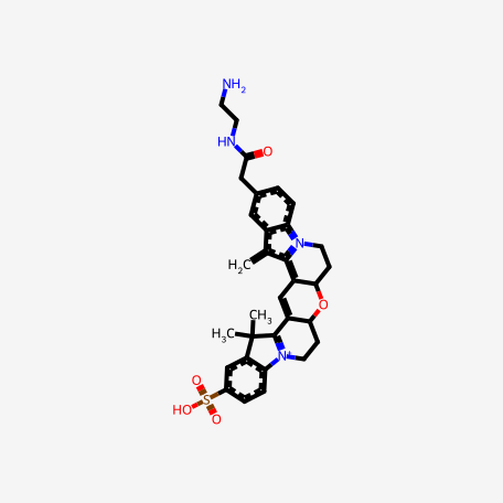 C=c1c2n(c3ccc(CC(=O)NCCN)cc13)CCC1OC3CC[N+]4=C(C3=CC=21)C(C)(C)c1cc(S(=O)(=O)O)ccc14